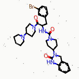 O=C(NC(Cc1cccc(Br)c1)C(=O)N1CCC(N2CCCCC2)CC1)N1CCC(N2Cc3ccccc3NC2=O)CC1